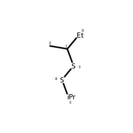 CCC(C)SSC(C)C